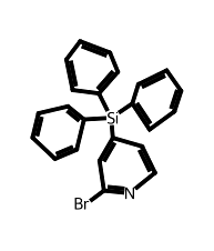 Brc1cc([Si](c2ccccc2)(c2ccccc2)c2ccccc2)ccn1